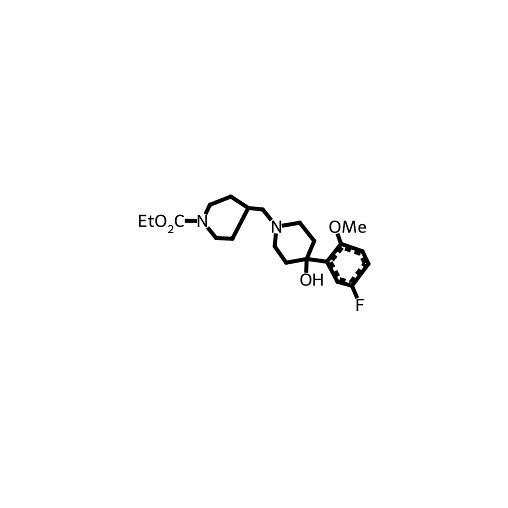 CCOC(=O)N1CCC(CN2CCC(O)(c3cc(F)ccc3OC)CC2)CC1